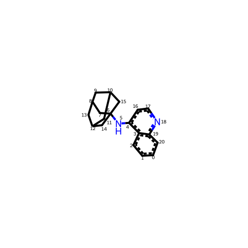 c1ccc2c(NC34CC5CC(CC(C5)C3)C4)ccnc2c1